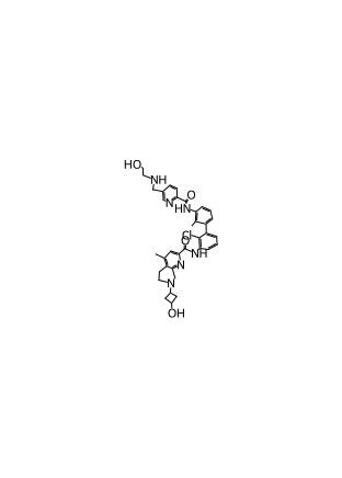 Cc1cc(C(=O)Nc2cccc(-c3cccc(NC(=O)c4ccc(CNCCO)cn4)c3C)c2Cl)nc2c1CCN(C1CC(O)C1)C2